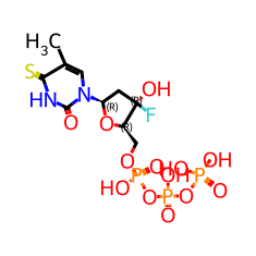 Cc1cn([C@H]2C[C@@](O)(F)[C@@H](COP(=O)(O)OP(=O)(O)OP(=O)(O)O)O2)c(=O)[nH]c1=S